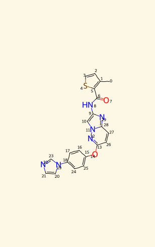 Cc1ccsc1C(=O)Nc1cn2nc(Oc3ccc(-n4ccnc4)cc3)ccc2n1